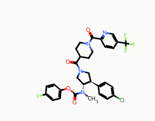 CN(C(=O)Oc1ccc(F)cc1)[C@@H]1CN(C(=O)C2CCN(C(=O)c3ccc(C(F)(F)F)cn3)CC2)C[C@H]1c1ccc(Cl)cc1